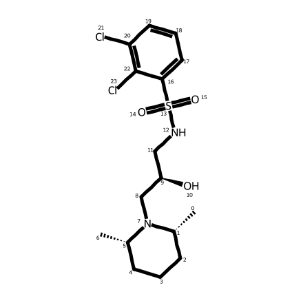 C[C@@H]1CCC[C@H](C)N1C[C@H](O)CNS(=O)(=O)c1cccc(Cl)c1Cl